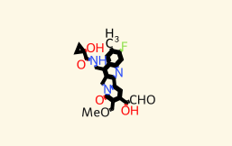 COCc1c(C(O)C=O)cc2n(c1=O)Cc1c-2nc2cc(F)c(C)cc2c1CNC(=O)C1(O)CC1